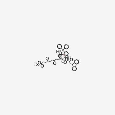 CC(C)(C)OC(=O)CCC(=O)CCC(=O)CCNC(=O)C(CC(=O)NC(c1ccccc1)(c1ccccc1)c1ccccc1)NC(=O)C(=O)CC1c2ccccc2-c2ccccc21